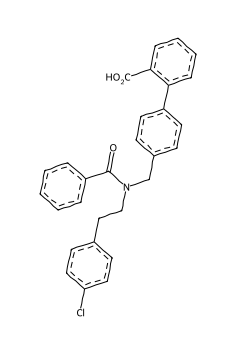 O=C(O)c1ccccc1-c1ccc(CN(CCc2ccc(Cl)cc2)C(=O)c2ccccc2)cc1